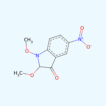 COC1C(=O)c2cc([N+](=O)[O-])ccc2N1OC